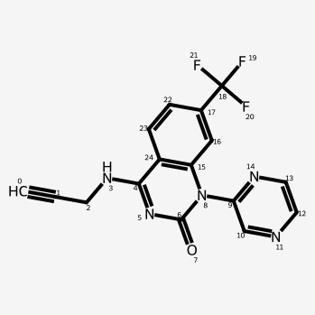 C#CCNc1nc(=O)n(-c2cnccn2)c2cc(C(F)(F)F)ccc12